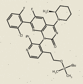 CC(C)c1nccc(CCO[Si](C)(C)C(C)(C)C)c1-n1c(=O)nc(N2CCCC[C@@H]2C)c2cc(F)c(-c3c(F)cccc3Cl)nc21